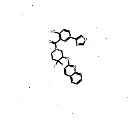 O=C(c1cc(-c2cocn2)ccc1O)N1CCC(F)(F)C(Oc2ccc3ccccc3n2)C1